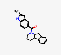 Cc1cc2cc(C(=O)N3CCCC4c5ccccc5CC43)ccc2[nH]1